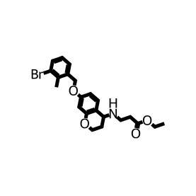 CCOC(=O)CCNC1CCOc2cc(OCc3cccc(Br)c3C)ccc21